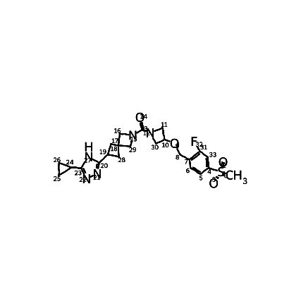 CS(=O)(=O)c1ccc(COC2CN(C(=O)N3CC4(CC(c5nnc(C6CC6)[nH]5)C4)C3)C2)c(F)c1